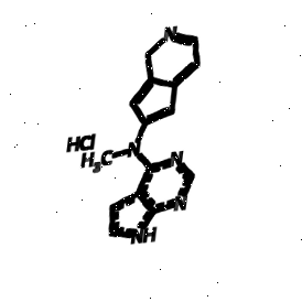 CN(C1=CC2=CC=NCC2=C1)c1ncnc2[nH]ccc12.Cl